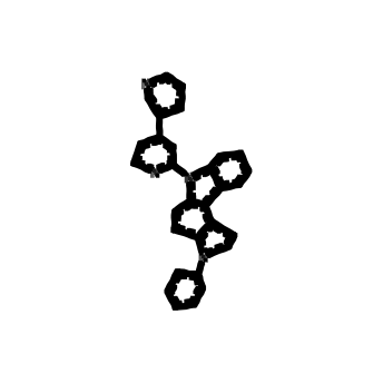 c1ccc(-n2ccc3c4c5ccccc5n(-c5cc(-c6cccnc6)ccn5)c4ccc32)cc1